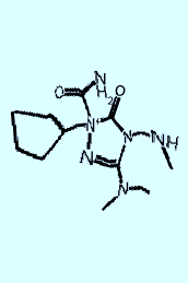 CNN1C(=O)[N+](C(N)=O)(C2CCCC2)N=C1N(C)C